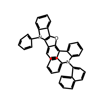 c1ccc(N(c2ccccc2-c2cccc3c2oc2c4ccccc4n(-c4ccccc4)c32)c2cccc3ccccc23)cc1